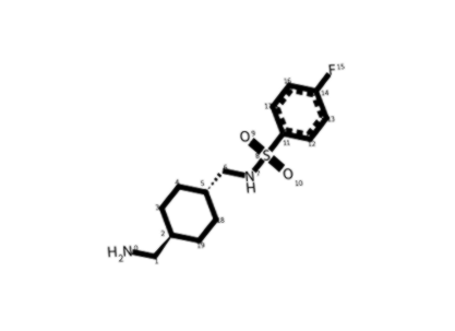 NC[C@H]1CC[C@H](CNS(=O)(=O)c2ccc(F)cc2)CC1